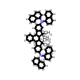 CC1(C)c2cc(N(c3cccc4ccccc34)c3cccc4ccccc34)ccc2-c2c1c1c(c3ccccc23)-c2ccc(N(c3cccc4ccccc34)c3cccc4ccccc34)cc2C1(C)C